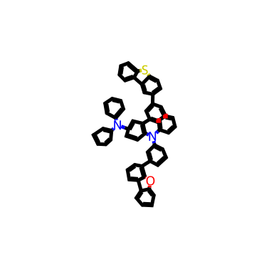 c1ccc(N(c2ccccc2)c2ccc(N(c3ccccc3)c3cccc(-c4cccc5c4oc4ccccc45)c3)c(-c3cccc(-c4ccc5sc6ccccc6c5c4)c3)c2)cc1